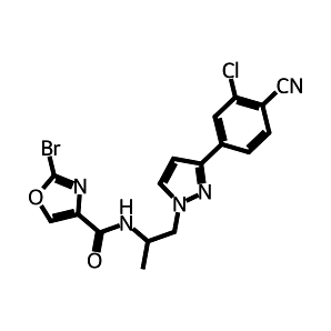 CC(Cn1ccc(-c2ccc(C#N)c(Cl)c2)n1)NC(=O)c1coc(Br)n1